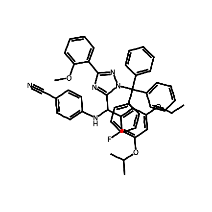 CCOc1cc(OC(C)C)c(F)c(C(Nc2ccc(C#N)cc2)c2nc(-c3ccccc3OC)nn2C(c2ccccc2)(c2ccccc2)c2ccccc2)c1